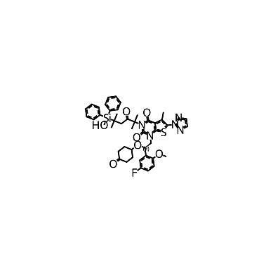 COc1ccc(F)cc1[C@H](Cn1c(=O)n(C(C)(C)C(=O)CC(C)(C)[Si](O)(c2ccccc2)c2ccccc2)c(=O)c2c(C)c(-n3nccn3)sc21)OC1CCC(=O)CC1